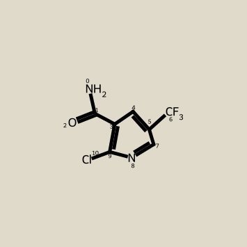 NC(=O)c1cc(C(F)(F)F)cnc1Cl